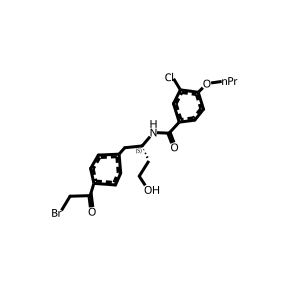 CCCOc1ccc(C(=O)N[C@H](CCO)Cc2ccc(C(=O)CBr)cc2)cc1Cl